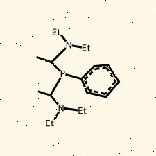 CCN(CC)C(C)P(c1ccccc1)C(C)N(CC)CC